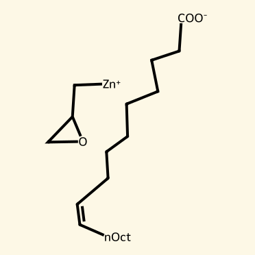 CCCCCCCC/C=C\CCCCCCCC(=O)[O-].[Zn+][CH2]C1CO1